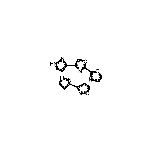 c1cc(-c2ccon2)no1.c1coc(-c2nc(-c3cc[nH]n3)co2)n1